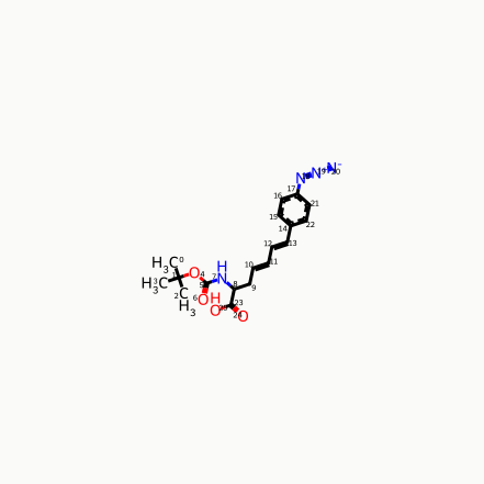 CC(C)(C)OC(=O)NC(CC=CC=Cc1ccc(N=[N+]=[N-])cc1)C(=O)O